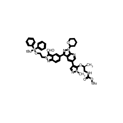 C[C@@H](CNC(=O)OC(C)(C)C)Oc1c(-c2cnc3c(c2)c(-c2ccc4nn(CCO[Si](c5ccccc5)(c5ccccc5)C(C)(C)C)c(C=O)c4c2)nn3C2CCCCO2)cnn1C